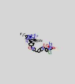 COc1cc2nc(C)nc(N[C@H](C)c3cc(N)cc(C(F)(F)F)c3)c2cc1C1CCC(C(=O)N2CCC(CC3CCC4(CC3)CCN(C(=O)c3ccc(Cl)c(N5CCC(=O)NC5=O)c3)CC4)CC2)CC1